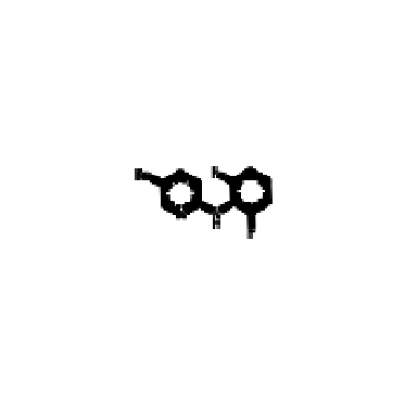 Fc1cccc(F)c1Nc1ccc(Br)cn1